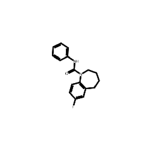 O=C(Nc1ccccc1)N1CCCCc2cc(F)ccc21